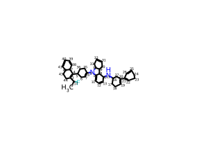 CC(F)C1=C(C2CC=C(N3C4=CC=CC(NC5CCC=C(C6=CCCC=C6)C5)C4C4CC=CCC43)CC2)C2C=CC=CC2CC1